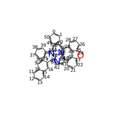 c1ccc(-c2nc(-c3ccc4ccccc4c3)nc(-c3cccc4oc5cccc(-c6ccc(-c7ccccc7)c7ccccc67)c5c34)n2)cc1